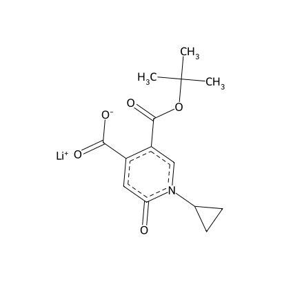 CC(C)(C)OC(=O)c1cn(C2CC2)c(=O)cc1C(=O)[O-].[Li+]